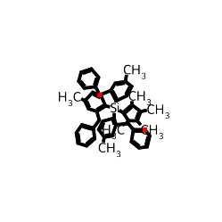 CC1=C(C)C(C)C([Si](c2ccc(C)cc2Cc2ccccc2)(c2ccc(C)cc2Cc2ccccc2)c2ccc(C)cc2Cc2ccccc2)=C1C